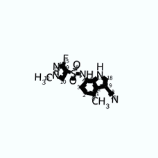 Cc1ccc(NS(=O)(=O)c2cn(C)nc2F)c2[nH]cc(C#N)c12